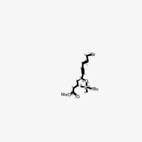 COC(=O)CCC[C@@H](C#C/C=C/CBr)O[Si](C)(C)C(C)(C)C